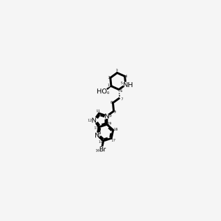 O[C@H]1CCCN[C@@H]1CCCn1cnc2nc(Br)ccc21